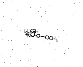 CC1CCC(C#Cc2ccc(C3=CC=C(N=C=S)CC(C)(S)C3)cc2)CC1